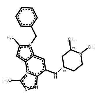 Cc1cc2c(cc(N[C@H]3CCN(C)[C@H](C)C3)c3nnc(C)n32)n1Cc1ccccc1